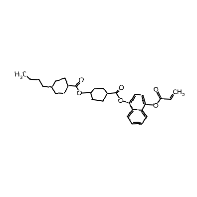 C=CC(=O)Oc1ccc(OC(=O)C2CCC(OC(=O)C3CCC(CCCC)CC3)CC2)c2ccccc12